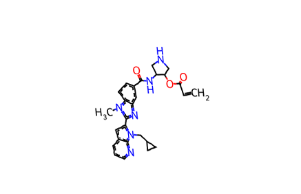 C=CC(=O)OC1CNCC1NC(=O)c1ccc2c(c1)nc(-c1cc3cccnc3n1CC1CC1)n2C